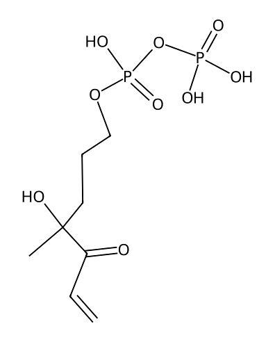 C=CC(=O)C(C)(O)CCCOP(=O)(O)OP(=O)(O)O